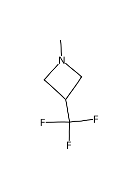 CN1CC(C(F)(F)F)C1